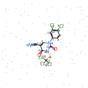 N#Cc1cn(-c2ccc(Cl)c(Cl)c2)c(=O)n(SC(Cl)(Cl)Cl)c1=O